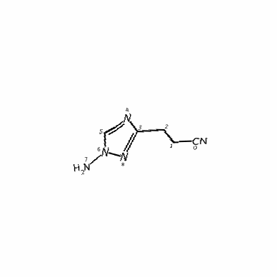 N#CCCc1ncn(N)n1